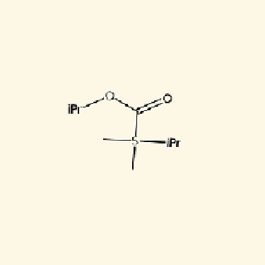 CC(C)OC(=O)S(C)(C)C(C)C